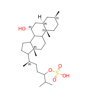 CC(C)C(CC[C@@H](C)C1CCC2C3C(CC[C@@]21C)[C@@]1(C)CC[C@H](C)C[C@@H]1C[C@H]3O)OS(=O)(=O)O